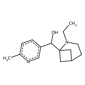 CCN1CCC2CC1(C(O)c1ccc(C)nc1)C2